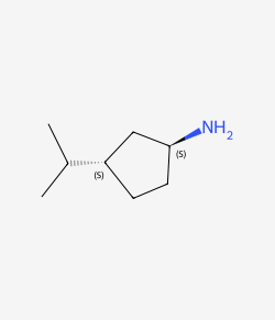 CC(C)[C@H]1CC[C@H](N)C1